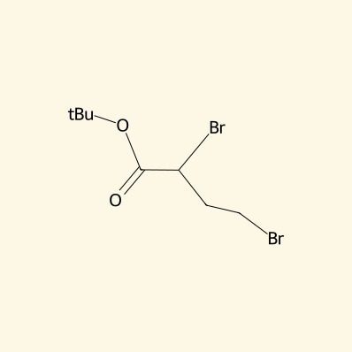 CC(C)(C)OC(=O)C(Br)CCBr